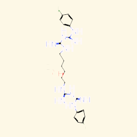 CCO.N=C(NCCCCCCNC(=N)NC(=N)Nc1ccc(Cl)cc1)NC(=N)Nc1ccc(Cl)cc1